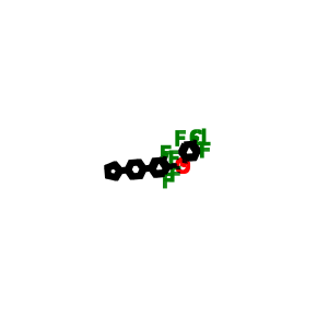 Fc1cc(OC(F)(F)c2c(F)cc(C3CCC(C4CCCC4)CC3)cc2F)cc(F)c1Cl